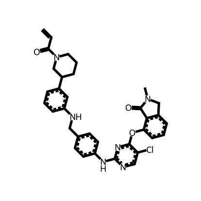 C=CC(=O)N1CCCC(c2cccc(NCc3ccc(Nc4ncc(Cl)c(Oc5cccc6c5C(=O)N(C)C6)n4)cc3)c2)C1